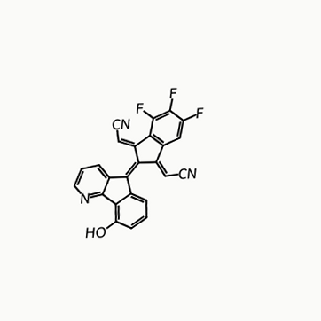 N#C/C=C1C(=C2\c3cccnc3-c3c(O)cccc32)/C(=C/C#N)c2cc(F)c(F)c(F)c2/1